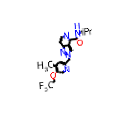 Cc1cc(Cn2cc3c(C(=O)NC(C)C)nccc3n2)ncc1OCC(F)(F)F